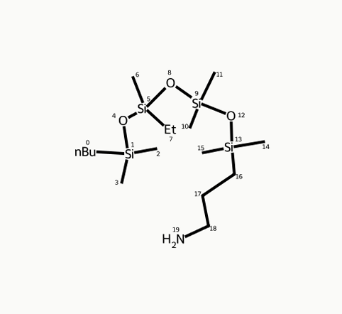 CCCC[Si](C)(C)O[Si](C)(CC)O[Si](C)(C)O[Si](C)(C)CCCN